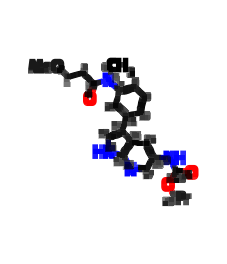 COCCC(=O)N(C)c1cccc(-c2c[nH]c3ncc(NC(=O)OC(C)C)cc23)c1